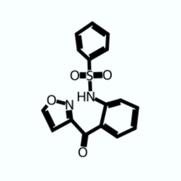 O=C(c1ccon1)c1ccccc1NS(=O)(=O)c1ccccc1